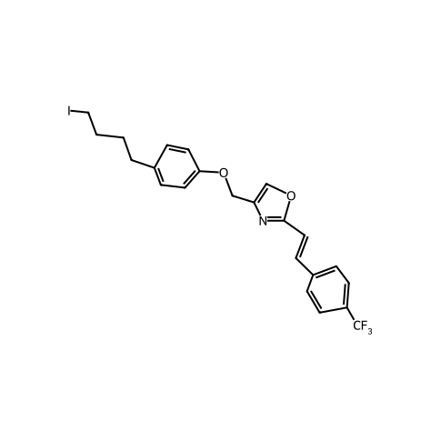 FC(F)(F)c1ccc(C=Cc2nc(COc3ccc(CCCCI)cc3)co2)cc1